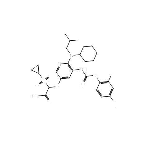 CC(C)CN(c1ncc(OC(C(N)=O)S(=O)(=O)C2CC2)cc1NC(=O)Nc1ccc(Cl)cc1F)C1CCCCC1